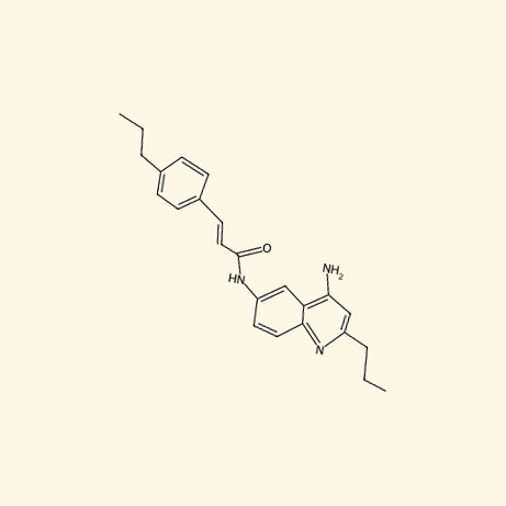 CCCc1ccc(C=CC(=O)Nc2ccc3nc(CCC)cc(N)c3c2)cc1